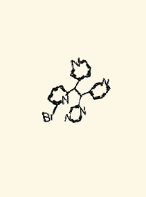 Brc1cccc(C(c2cccnc2)C(c2cccnc2)c2cnccn2)n1